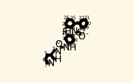 O=C(NCc1cccnc1)Nc1ccc(N[S+]([O-])c2ccccc2-c2cccc(F)c2)cc1